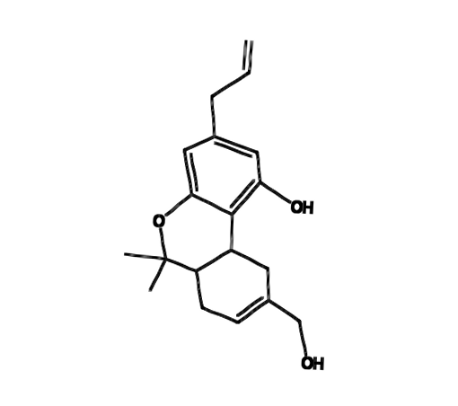 C=CCc1cc(O)c2c(c1)OC(C)(C)C1CC=C(CO)CC21